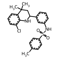 Cc1ccc(S(=O)(=O)Nc2cccc(C3CC(C)(C)c4cccc(Cl)c4N3)c2)cc1